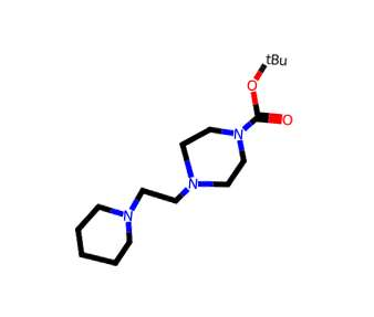 CC(C)(C)OC(=O)N1CCN(CCN2CCCCC2)CC1